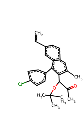 C=Cc1ccc2cc(C)c(C(OC(C)(C)C)C(C)=O)c(-c3ccc(Cl)cc3)c2c1